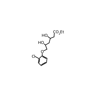 CCOC(=O)CC(O)CC(O)COc1ccccc1Cl